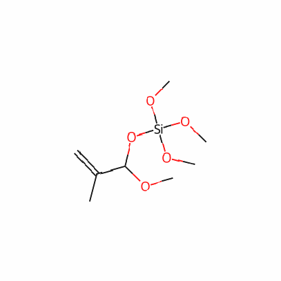 C=C(C)C(OC)O[Si](OC)(OC)OC